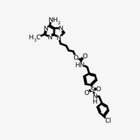 Cc1nc(N)c2ncn(CCCCOC(=O)NCc3ccc(S(=O)(=O)NCc4ccc(Cl)cc4)cc3)c2n1